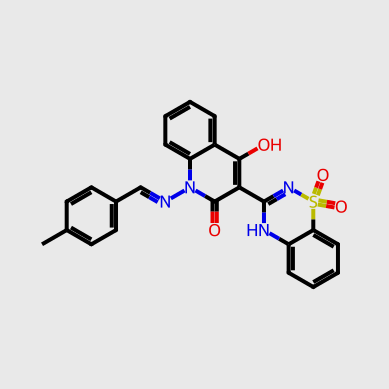 Cc1ccc(C=Nn2c(=O)c(C3=NS(=O)(=O)c4ccccc4N3)c(O)c3ccccc32)cc1